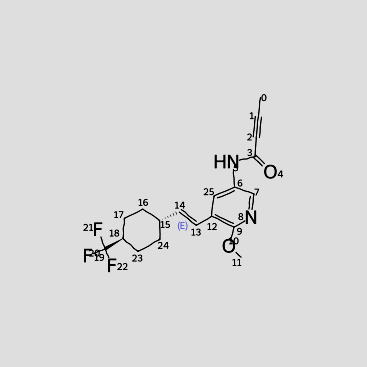 CC#CC(=O)Nc1cnc(OC)c(/C=C/[C@H]2CC[C@H](C(F)(F)F)CC2)c1